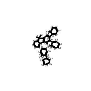 CC1(C)c2ccccc2-c2c1c1oc3ccccc3c1c1c3ccccc3n(-c3ccc4oc5ccccc5c4c3)c21